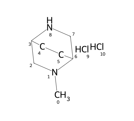 CN1CC2CCC1CN2.Cl.Cl